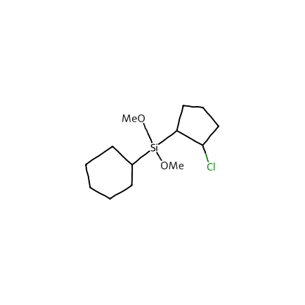 CO[Si](OC)(C1CCCCC1)C1CCCC1Cl